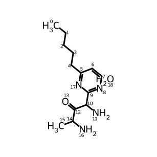 CCCCCc1ccnc(C(N)C(=O)C(C)N)n1.O